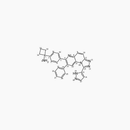 NC1(c2ccc(-c3nc4ccc5nnc(-c6ccn[nH]6)n5c4cc3-c3ccccc3)cc2)CCC1